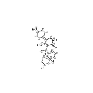 C[C@@H]1CC[C@H]2[C@H](C(=O)c3c(O)c(-c4ccc(O)cc4)c[nH]c3=O)[C@H](C)C=C[C@@H]2C1